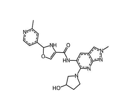 Cc1cc(C2NC(C(=O)Nc3cc4cn(C)nc4nc3N3CCC(O)C3)=CO2)ccn1